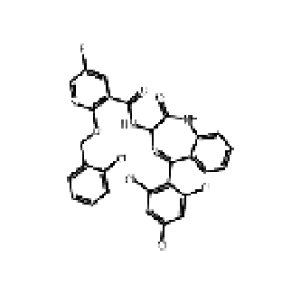 O=C(NC1N=C(c2c(Cl)cc(Cl)cc2Cl)c2ccccc2NC1=O)c1cc(F)cnc1OCc1ccccc1Cl